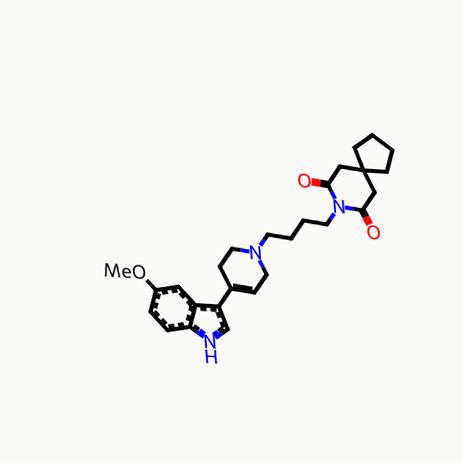 COc1ccc2[nH]cc(C3=CCN(CCCCN4C(=O)CC5(CCCC5)CC4=O)CC3)c2c1